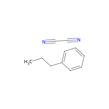 CCCc1ccccc1.N#CC#N